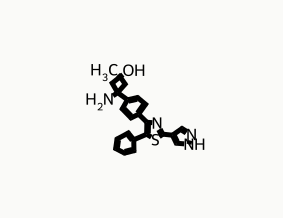 CC1(O)CC(N)(c2ccc(-c3nc(-c4cn[nH]c4)sc3-c3ccccc3)cc2)C1